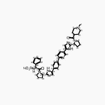 CN1CCC(C(=O)N2CCC[C@H]2c2ncc(-c3ccc(-c4ccc(-c5cnc([C@@H]6CCCN6C(=O)[C@H](NC(=O)O)c6ccccc6)[nH]5)cc4)nc3)[nH]2)CC1